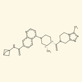 C[C@@H]1CN(c2ccnc3cc(C(=O)NC45CC(C4)C5)ccc23)CC[C@@H]1C(=O)N1CCn2c(nnc2C(F)(F)F)C1